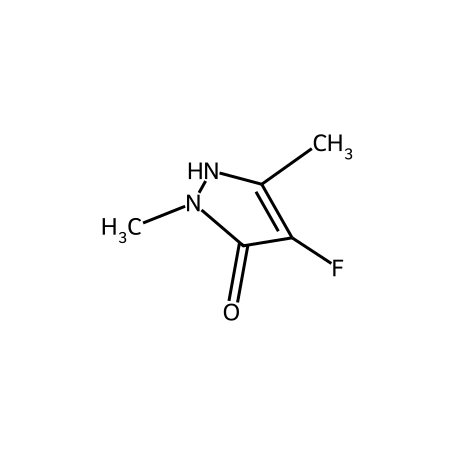 Cc1[nH]n(C)c(=O)c1F